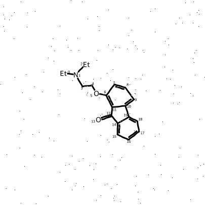 CCN(CC)CCOc1cccc2c1C(=O)c1ccccc1-2